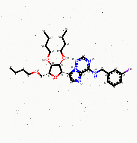 CCCCOC[C@H]1O[C@@H](c2cnc3c(NCc4cccc(I)c4)ncnn23)[C@H](OCCCC)[C@@H]1OCCCC